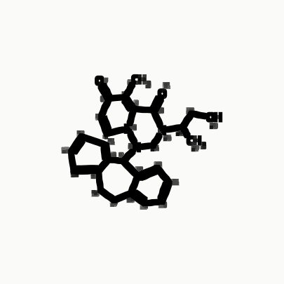 Cc1c2n(ccc1=O)N(C1c3ccccc3CCc3ccccc31)CN(C(C)CO)C2=O